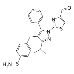 CC(C)c1nn(-c2nc(C=O)cs2)c(-c2ccccc2)c1Cc1ccc(SN)cc1